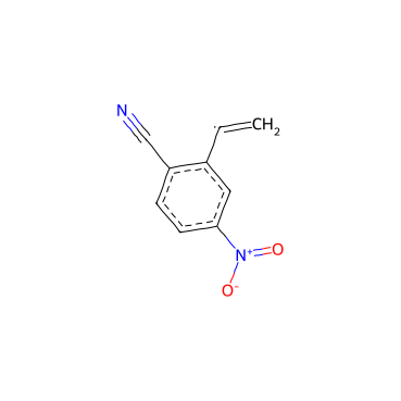 C=[C]c1cc([N+](=O)[O-])ccc1C#N